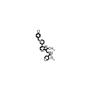 Cc1nn2c([C@@H]3CCCN(Cc4ccc(Cl)cc4)C3)ccnc2c1CN[C@H](C)C1CCOCC1